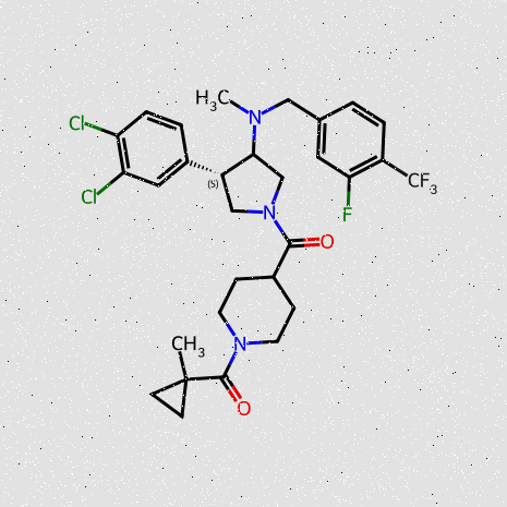 CN(Cc1ccc(C(F)(F)F)c(F)c1)C1CN(C(=O)C2CCN(C(=O)C3(C)CC3)CC2)C[C@@H]1c1ccc(Cl)c(Cl)c1